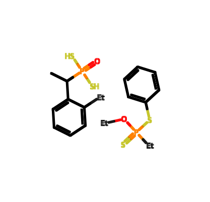 CCOP(=S)(CC)Sc1ccccc1.CCc1ccccc1C(C)P(=O)(S)S